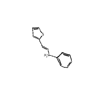 C(=Cc1cccs1)[SiH2]c1ccccc1